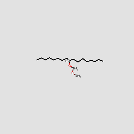 CCCCCCCC[SiH](CCCCCCCC)O[SiH2]O[SiH3]